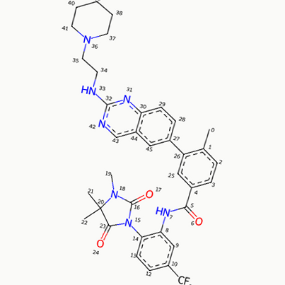 Cc1ccc(C(=O)Nc2cc(C(F)(F)F)ccc2N2C(=O)N(C)C(C)(C)C2=O)cc1-c1ccc2nc(NCCN3CCCCC3)ncc2c1